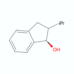 CC(C)C1Cc2ccccc2[C@@H]1O